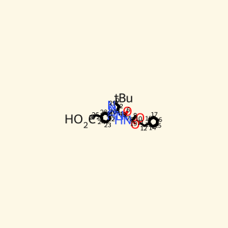 CC(C)(C)c1cc(NC(=O)NC2=COC(Cc3ccccc3)O2)n(-c2cccc(CC(=O)O)c2)n1